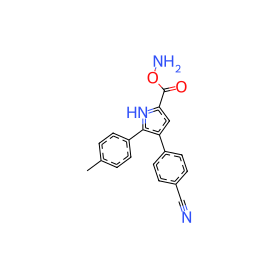 Cc1ccc(-c2[nH]c(C(=O)ON)cc2-c2ccc(C#N)cc2)cc1